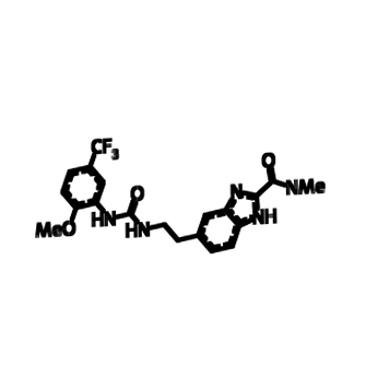 CNC(=O)c1nc2cc(CCNC(=O)Nc3cc(C(F)(F)F)ccc3OC)ccc2[nH]1